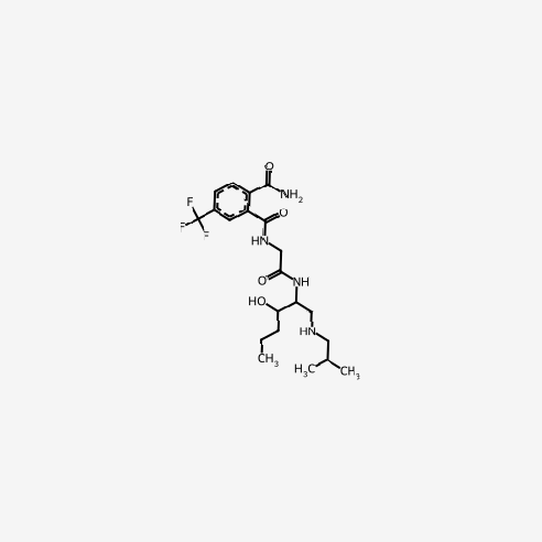 CCCC(O)C(CNCC(C)C)NC(=O)CNC(=O)c1cc(C(F)(F)F)ccc1C(N)=O